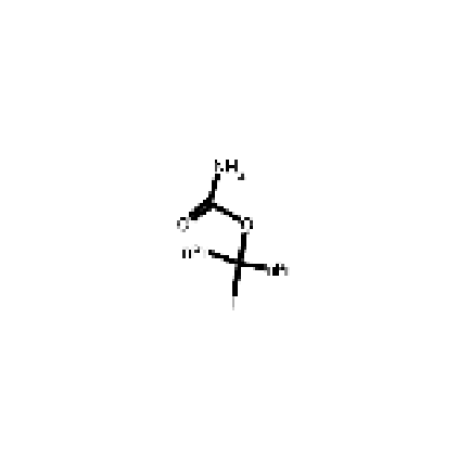 CCCC(I)(CCC)OC(N)=O